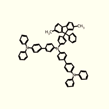 Cc1ccc2c(c1)C(c1ccccc1)(c1ccc(N(c3ccc(-c4ccc(N(c5ccccc5)c5ccccc5)cc4)cc3)c3ccc(-c4ccc(N(c5ccccc5)c5ccccc5)cc4)cc3)cc1)c1cc(C)ccc1-2